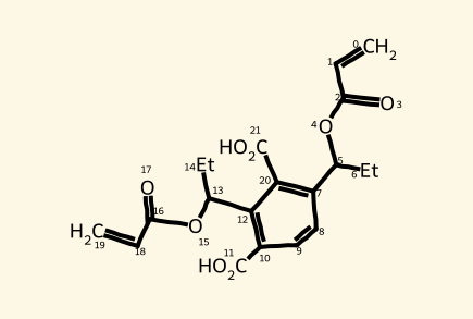 C=CC(=O)OC(CC)c1ccc(C(=O)O)c(C(CC)OC(=O)C=C)c1C(=O)O